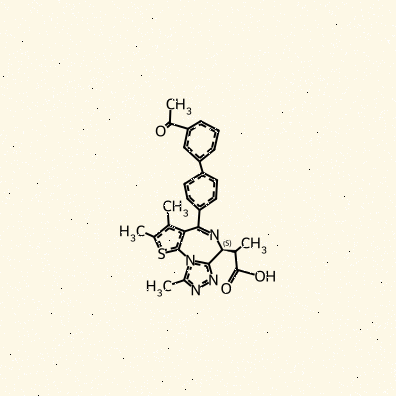 CC(=O)c1cccc(-c2ccc(C3=N[C@@H](C(C)C(=O)O)c4nnc(C)n4-c4sc(C)c(C)c43)cc2)c1